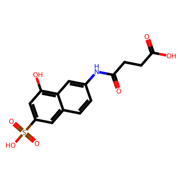 O=C(O)CCC(=O)Nc1ccc2cc(S(=O)(=O)O)cc(O)c2c1